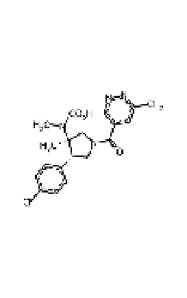 Cc1cc(C(=O)N2C[C@H](c3ccc(Cl)cc3)[C@@](C)(N(C)C(=O)O)C2)cnn1